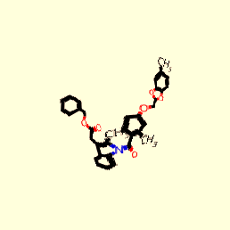 Cc1ccc2c(c1)OC(COc1ccc(C(=O)n3c(C)c(CC(=O)OCc4ccccc4)c4ccccc43)c(C)c1)O2